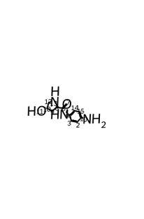 Nc1ccc(NC(=O)C2CC(O)CN2)cc1